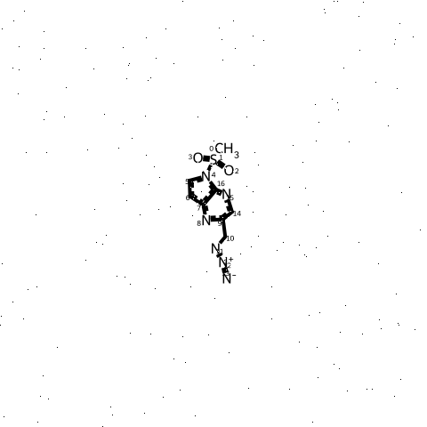 CS(=O)(=O)n1ccc2nc(CN=[N+]=[N-])cnc21